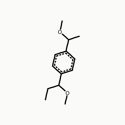 CCC(OC)c1ccc(C(C)OC)cc1